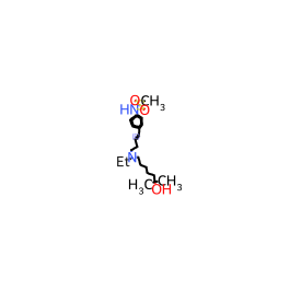 CCN(CC/C=C/c1ccc(NS(C)(=O)=O)cc1)CCCCCC(C)(C)O